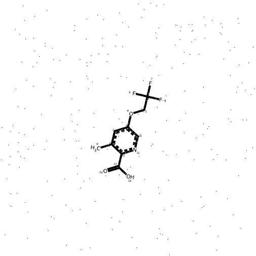 Cc1cc(OCC(F)(F)F)cnc1C(=O)O